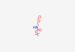 CC(C)(C)OC(=O)NCCO[C]=O